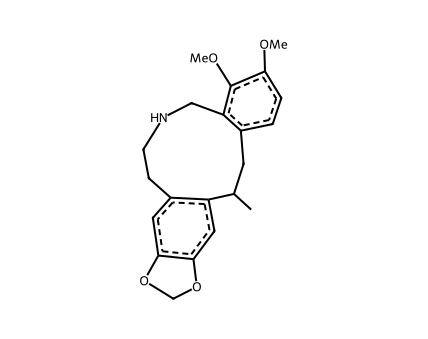 COc1ccc2c(c1OC)CNCCc1cc3c(cc1C(C)C2)OCO3